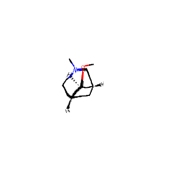 CO[C@@H]1[C@@H]2C[C@H]1CN(C)C2